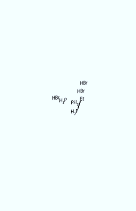 Br.Br.Br.CCP.P.P